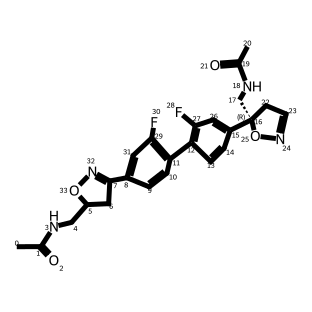 CC(=O)NCC1CC(c2ccc(-c3ccc([C@@]4(CNC(C)=O)CC=NO4)cc3F)c(F)c2)=NO1